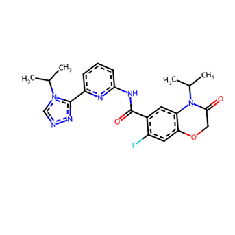 CC(C)N1C(=O)COc2cc(F)c(C(=O)Nc3cccc(-c4nncn4C(C)C)n3)cc21